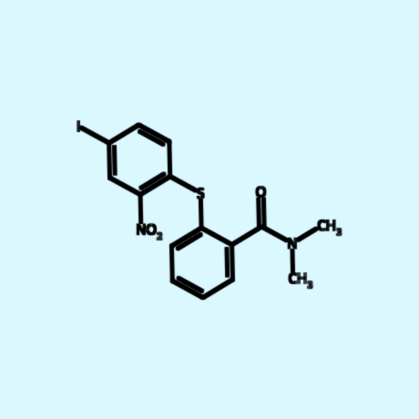 CN(C)C(=O)c1ccccc1Sc1ccc(I)cc1[N+](=O)[O-]